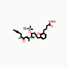 CC#CC[C@H](C)C(=O)/C=C(\C)[C@@H]1C[C@]2(Cc3cccc(CCCC(=O)OC)c3O2)CC1O[Si](C)(C)C(C)(C)C